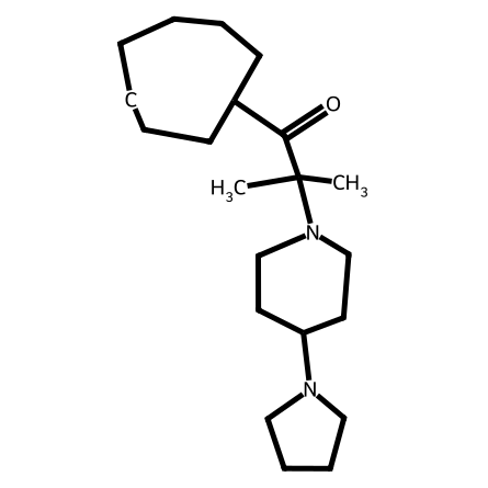 CC(C)(C(=O)C1CCCCCCC1)N1CCC(N2CCCC2)CC1